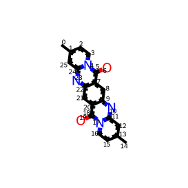 Cc1ccn2c(=O)c3cc4nc5cc(C)ccn5c(=O)c4cc3nc2c1